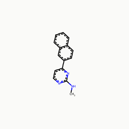 CNc1nccc(-c2ccc3ccccc3c2)n1